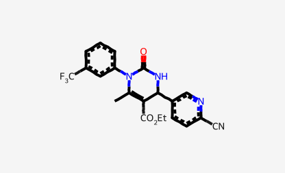 CCOC(=O)C1=C(C)N(c2cccc(C(F)(F)F)c2)C(=O)NC1c1ccc(C#N)nc1